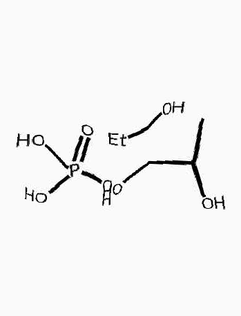 CC(O)CO.CCO.O=P(O)(O)O